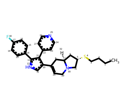 CCCCS[C@H]1C[C@@H]2CC(c3c[nH]c(-c4ccc(F)cc4)c3-c3ccncc3)=CCN2C1